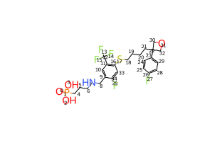 O=P(O)(O)CCCNCc1cc(C(F)(F)F)c(SCCCCC2(c3ccc(F)cc3)COC2)cc1F